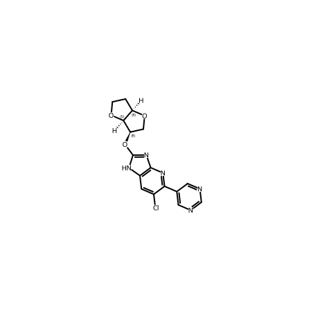 Clc1cc2[nH]c(O[C@@H]3CO[C@@H]4CCO[C@@H]43)nc2nc1-c1cncnc1